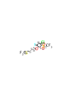 O=S(=O)(CC(F)(F)F)c1cc(OCCCCCSC(F)(F)F)c(F)cc1Cl